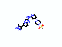 Cc1[nH]ncc1-c1ccc2nc(Nc3cc(N4CCN(S(C)(=O)=O)CC4)ccn3)cn2c1